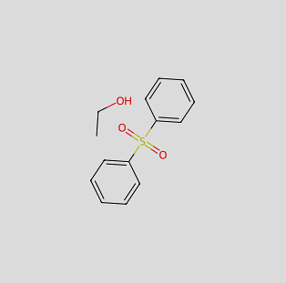 CCO.O=S(=O)(c1ccccc1)c1ccccc1